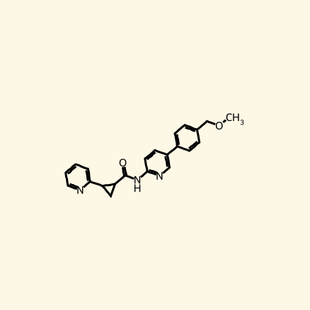 COCc1ccc(-c2ccc(NC(=O)C3CC3c3ccccn3)nc2)cc1